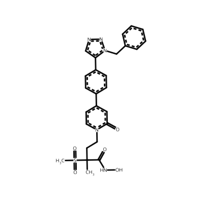 CC(CCn1ccc(-c2ccc(-c3cnnn3Cc3ccccc3)cc2)cc1=O)(C(=O)NO)S(C)(=O)=O